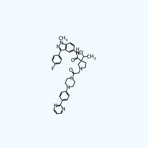 CC(O)C1(C(=O)Nc2ccc3c(c2)c(-c2ccc(F)cc2)nn3C)CCN(CC(=O)N2CCN(c3ccc(-c4ncccn4)cc3)CC2)C1